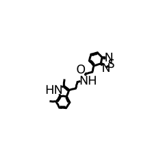 Cc1[nH]c2c(C)cccc2c1CCNC(=O)Cc1cccc2nsnc12